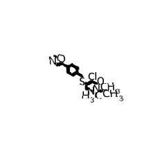 CC(C)(C)n1ncc(SCc2ccc(-c3cnco3)cc2)c(Cl)c1=O